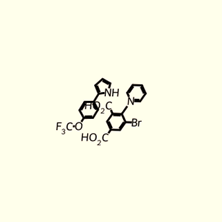 Cc1c(Br)cc(C(=O)O)cc1C(=O)O.FC(F)(F)Oc1ccc(-c2ccc[nH]2)cc1.c1ccncc1